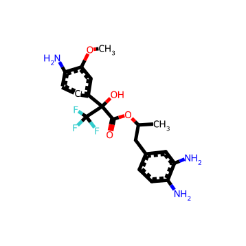 COc1cc(C(O)(C(=O)OC(C)Cc2ccc(N)c(N)c2)C(F)(F)F)ccc1N